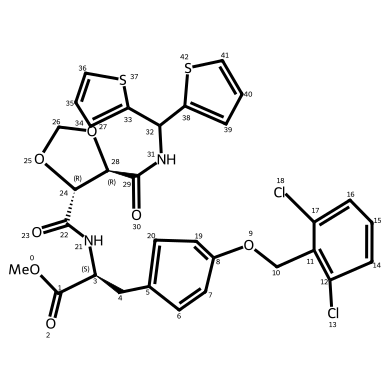 COC(=O)[C@H](Cc1ccc(OCc2c(Cl)cccc2Cl)cc1)NC(=O)[C@@H]1OCO[C@H]1C(=O)NC(c1cccs1)c1cccs1